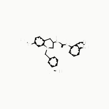 CC(=O)O.O=C(Nc1cccc2[nH]ncc12)NC1Cc2ccc(OC(F)(F)F)cc2N(Cc2ccccc2)C1